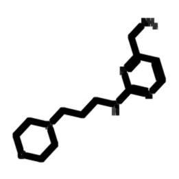 NCc1ccnc(NCCCN2CCOCC2)n1